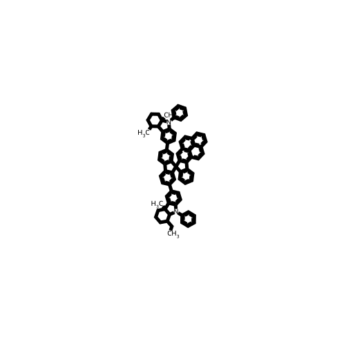 CCC1CCCC2(C)c3cc(-c4ccc5c(c4)C4(c6cc(-c7ccc8c(c7)C7C(C)CCCC7(C)N8c7ccccc7)ccc6-5)c5ccccc5-c5c4cc4ccc6cccc7ccc5c4c67)ccc3N(c3ccccc3)C12